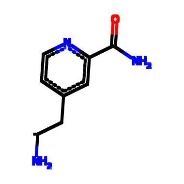 N[CH]Cc1ccnc(C(N)=O)c1